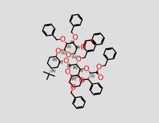 C[C@@H]1O[C@@H](O[C@@H]2CC[C@@H](C(C)(C)C)C[C@H]2O[C@@H]2O[C@H](COCc3ccccc3)[C@H](OCc3ccccc3)[C@H](O[C@@H](CC3CCCCC3)C(=O)OCc3ccccc3)[C@H]2OCc2ccccc2)[C@@H](OCc2ccccc2)[C@H](OCc2ccccc2)[C@@H]1OCc1ccccc1